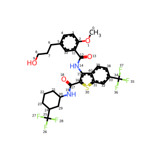 COc1ccc(CCCO)cc1C(=O)Nc1c(C(=O)NC2CCCC(C(F)(F)F)C2)sc2cc(C(F)(F)F)ccc12